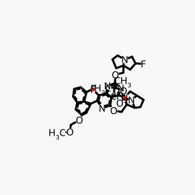 COCOc1cc(-c2nc3c4c(nc(OCC56CCCN5CC(F)C6)nc4c2F)N2CC4CCC(C2CO3)N4C(=O)OC(C)(C)C)c2c(F)cccc2c1